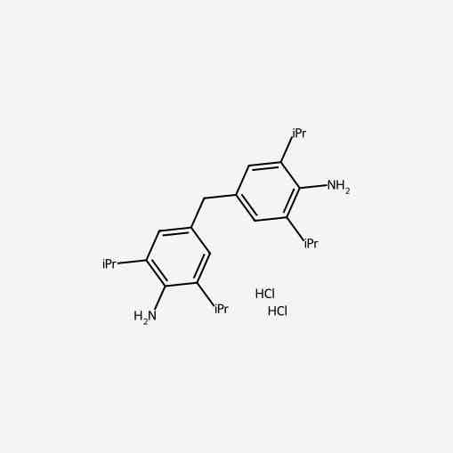 CC(C)c1cc(Cc2cc(C(C)C)c(N)c(C(C)C)c2)cc(C(C)C)c1N.Cl.Cl